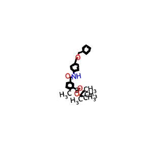 Cc1ccc(C(=O)Nc2ccc(COCc3ccccc3)cc2)cc1B1OC(C)(C)C(C)(C)O1